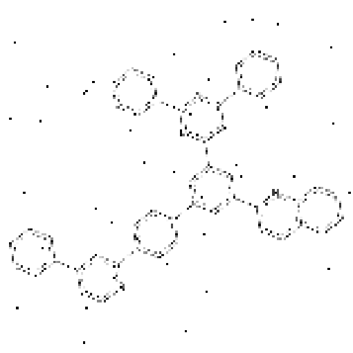 c1ccc(-c2ccnc(-c3ccc(-c4cc(-c5ccc6ccccc6n5)cc(-c5nc(-c6ccccc6)nc(-c6ccccc6)n5)c4)cc3)c2)cc1